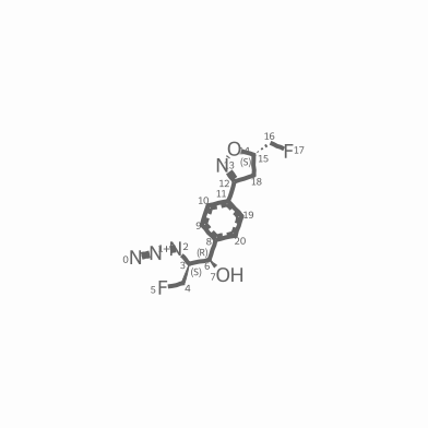 [N-]=[N+]=N[C@H](CF)[C@H](O)c1ccc(C2=NO[C@H](CF)C2)cc1